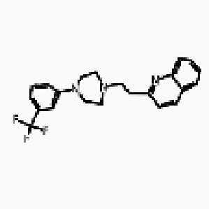 FC(F)(F)c1cccc(N2CCN(CCc3ccc4ccccc4n3)CC2)c1